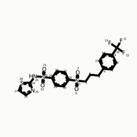 O=S(=O)(CCCc1ccc(C(F)(F)F)cc1)c1ccc(S(=O)(=O)Nc2nccs2)cc1